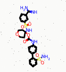 N=C(N)c1cccc(S(=O)(=O)NC2(OC(=O)Nc3ccc(-c4ccccc4S(N)(=O)=O)cc3)CCOCC2)c1